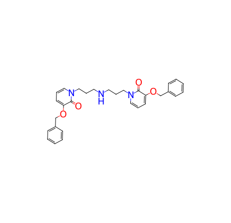 O=c1c(OCc2ccccc2)cccn1CCCNCCCn1cccc(OCc2ccccc2)c1=O